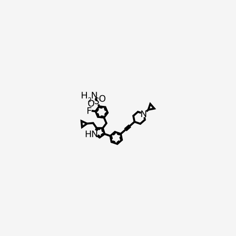 NS(=O)(=O)c1ccc(Cc2c(-c3cccc(C#CC4CCN(C5CC5)CC4)c3)c[nH]c2CC2CC2)cc1F